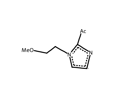 COCCn1c[c]nc1C(C)=O